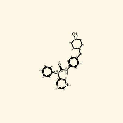 CN1CCN(Cc2ccc(NC(=O)N(c3ccccc3)c3cncnc3)cc2)CC1